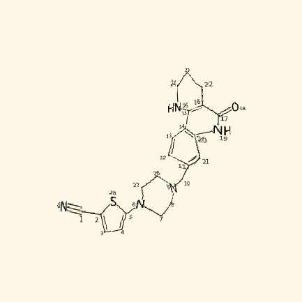 N#Cc1ccc(N2CCN(Cc3ccc4c5c(c(=O)[nH]c4c3)CCCN5)CC2)s1